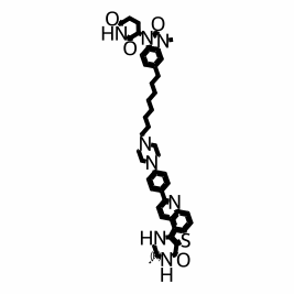 C[C@@H]1CNc2c(sc3ccc4nc(-c5ccc(N6CCN(CCCCCCCCc7ccc8c(c7)n(C)c(=O)n8C7CCC(=O)NC7=O)CC6)cc5)ccc4c23)C(=O)N1